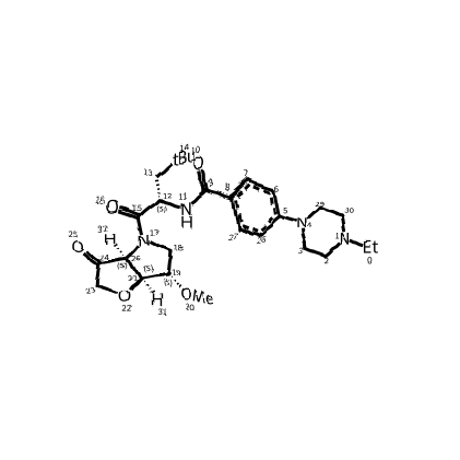 CCN1CCN(c2ccc(C(=O)N[C@@H](CC(C)(C)C)C(=O)N3C[C@H](OC)[C@H]4OCC(=O)[C@H]43)cc2)CC1